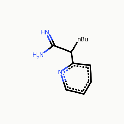 CCCCC(C(=N)N)c1ccccn1